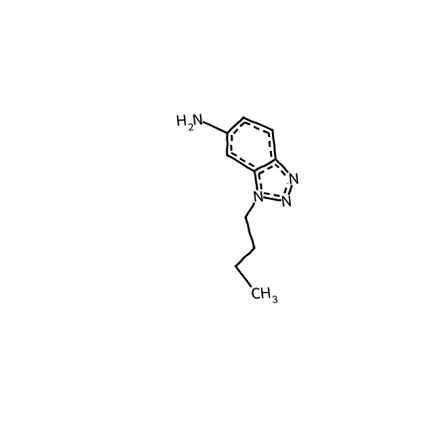 CCCCn1nnc2ccc(N)cc21